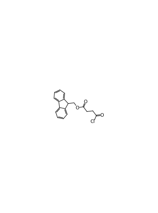 O=C(Cl)CCC(=O)OCC1c2ccccc2-c2ccccc21